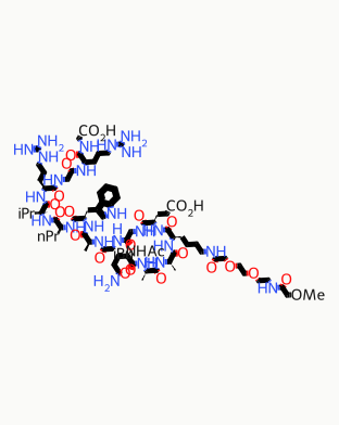 CCC[C@H](NC(=O)[C@H](Cc1c[nH]c2ccccc12)NC(=O)[C@H](C)NC(=O)[C@@H](NC(=O)CNC(=O)[C@H](CCC(=O)O)NC(=O)[C@H](CCCCNC(=O)COCCOCCNC(=O)COC)NC(=O)[C@H](C)NC(=O)[C@H](C)NC(=O)[C@H](CCC(N)=O)NC(C)=O)[C@@H](C)CC)C(=O)N[C@H](C(=O)N[C@@H](CCCNC(=N)N)C(=O)NCC(=O)NC(CCCNC(=N)N)C(=O)NCC(=O)O)C(C)C